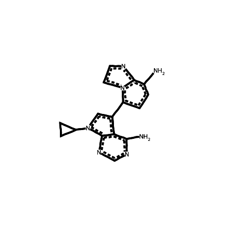 Nc1ncnc2c1c(-c1ccc(N)c3nccn13)cn2C1CC1